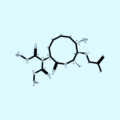 C=C(C)CO[C@H]1[C@H](C)OC(=O)[C@@H](N(C(=O)OC(C)(C)C)C(=O)OC(C)(C)C)CCCC[C@@H]1O